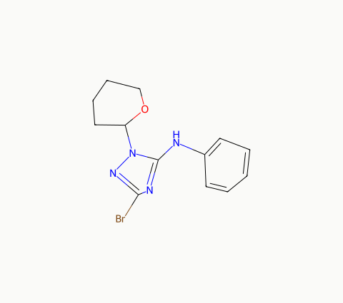 Brc1nc(Nc2ccccc2)n(C2CCCCO2)n1